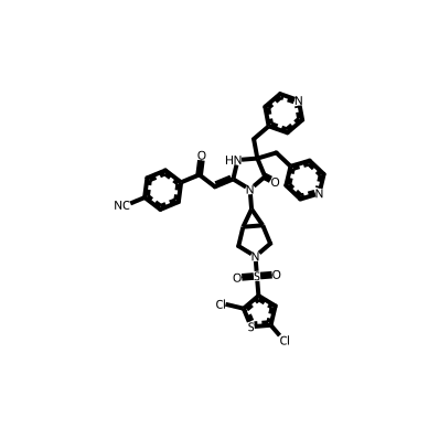 N#Cc1ccc(C(=O)C=C2NC(Cc3ccncc3)(Cc3ccncc3)C(=O)N2C2C3CN(S(=O)(=O)c4cc(Cl)sc4Cl)CC32)cc1